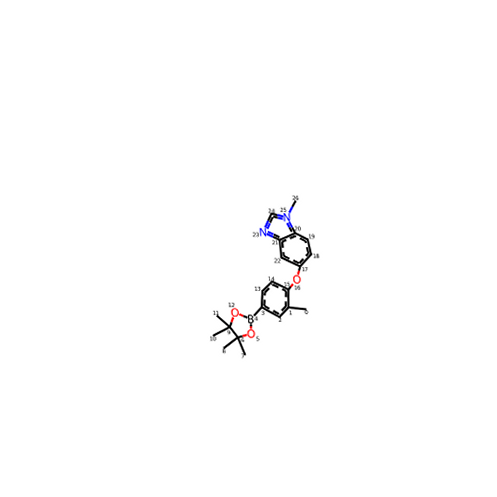 Cc1cc(B2OC(C)(C)C(C)(C)O2)ccc1Oc1ccc2c(c1)ncn2C